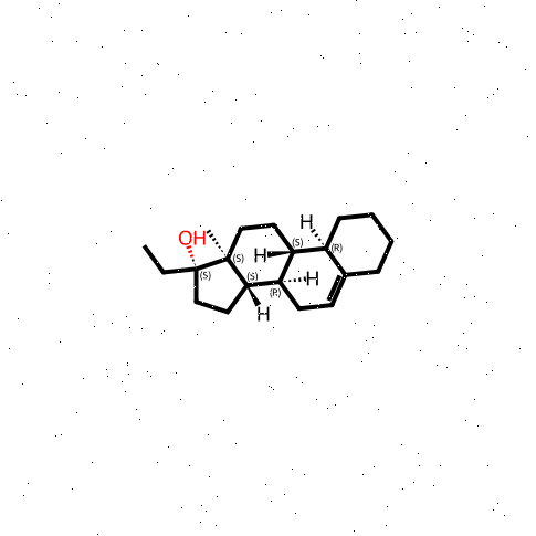 CC[C@]1(O)CC[C@H]2[C@@H]3CC=C4CCCC[C@@H]4[C@H]3CC[C@@]21C